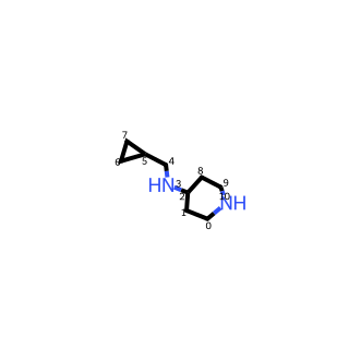 C1CC(NCC2CC2)CCN1